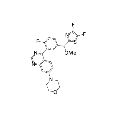 COC(c1ccc(F)c(-c2ncnc3cc(N4CCOCC4)ccc23)c1)c1nc(F)c(F)s1